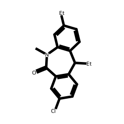 CCc1ccc2c(c1)N(C)C(=O)c1cc(Cl)ccc1C2CC